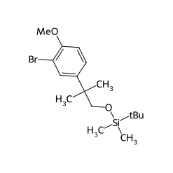 COc1ccc(C(C)(C)CO[Si](C)(C)C(C)(C)C)cc1Br